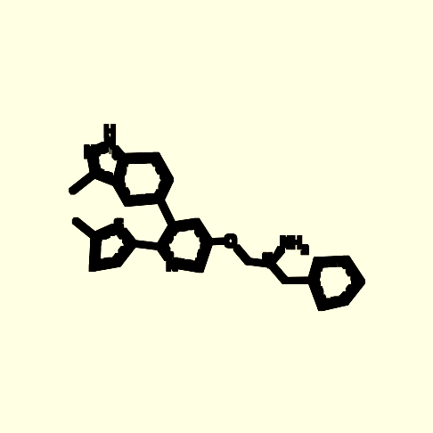 Cc1ccc(-c2ncc(OC[C@@H](N)Cc3ccccc3)cc2-c2ccc3[nH]nc(C)c3c2)s1